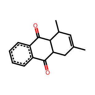 CC1=CC(C)C2C(=O)c3ccccc3C(=O)C2C1